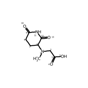 CN(CC(=O)O)C1CCC(=O)NC1=O